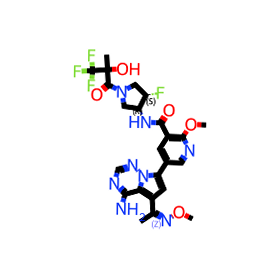 CO/N=C(/C)c1cc(-c2cnc(OC)c(C(=O)N[C@@H]3CN(C(=O)C(C)(O)C(F)(F)F)C[C@@H]3F)c2)n2ncnc(N)c12